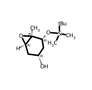 CC(C)(C)[Si](C)(C)O[C@@H]1C[C@H](O)C[C@H]2O[C@]21C